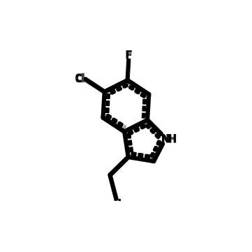 [CH2]Cc1c[nH]c2cc(F)c(Cl)cc12